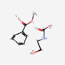 COC(=O)c1ccccc1.O=C(O)NCCO